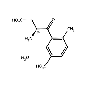 Cc1ccc(S(=O)(=O)O)cc1C(=O)[C@@H](N)CC(=O)O.O